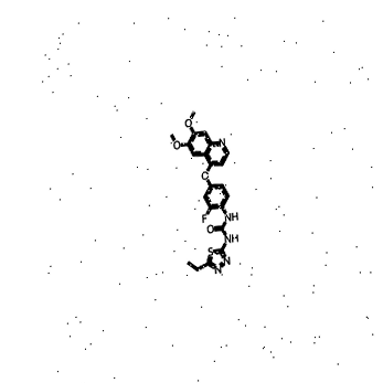 CCc1nnc(NC(=O)Nc2ccc(Oc3ccnc4cc(OC)c(OC)cc34)cc2F)s1